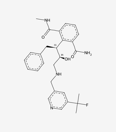 CNC(=O)c1cccc(C(N)=O)c1[C@H](Cc1ccccc1)[C@@H](O)CNCc1cncc(C(C)(C)F)c1